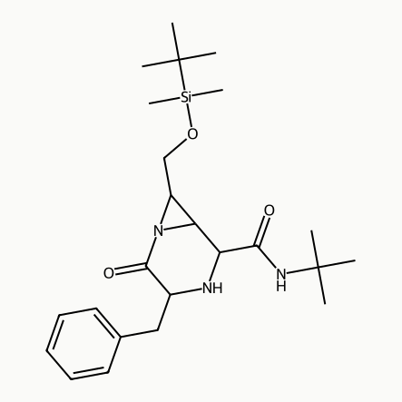 CC(C)(C)NC(=O)C1NC(Cc2ccccc2)C(=O)N2C(CO[Si](C)(C)C(C)(C)C)C12